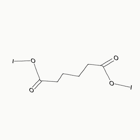 O=C(CCCCC(=O)OI)OI